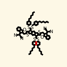 CCCCCCc1ccc(CS/C(Sc2ccc(CCCCCC)cc2)=C2\c3cc4c(cc3-c3sc(/C=C5\C(=O)c6ccccc6C5=C(C#N)C#N)cc32)C(=C(Sc2ccc(CCCCCC)cc2)Sc2ccc(CCCCCC)cc2)c2cc(CC3C(=O)c5ccccc5C3=C(C#N)C#N)sc2-4)cc1